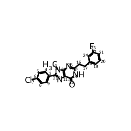 Cn1c(-c2ccc(Cl)cc2)nc2c(=O)[nH]c(CCc3cccc(F)c3)nc21